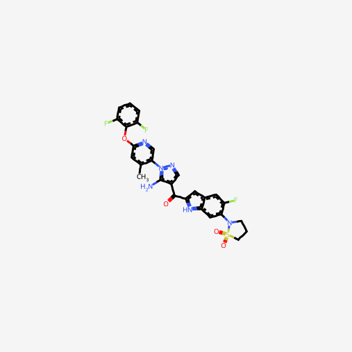 Cc1cc(Oc2c(F)cccc2F)ncc1-n1ncc(C(=O)c2cc3cc(F)c(N4CCCS4(=O)=O)cc3[nH]2)c1N